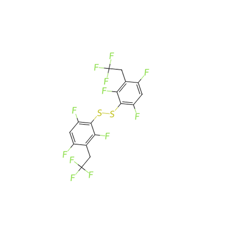 Fc1cc(F)c(SSc2c(F)cc(F)c(CC(F)(F)F)c2F)c(F)c1CC(F)(F)F